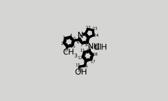 Cc1cccc(-c2cc(Nc3ccc(CCO)cc3)c3c(n2)CCC3)c1.Cl